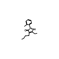 CCCCc1c(CC)[nH]n(-c2ccccc2C)c1=O